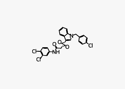 O=C(CS(=O)(=O)c1cn(Cc2ccc(Cl)cc2)c2ccccc12)Nc1ccc(Cl)c(Cl)c1